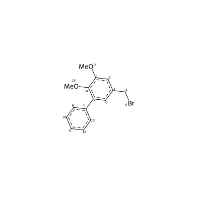 COc1cc(CBr)cc(-c2ccccc2)c1OC